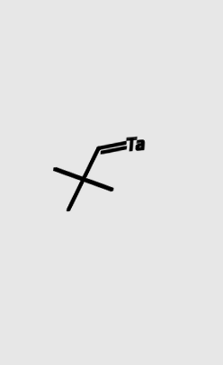 CC(C)(C)[CH]=[Ta]